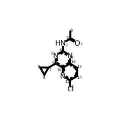 CC(=O)Nc1nc(C2CC2)c2nc(Cl)ccc2n1